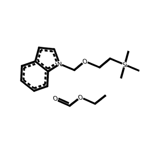 CCOC=O.C[Si](C)(C)CCOCn1ccc2ccccc21